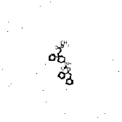 COC(=O)CCC1(c2ccccc2)CCC(NC(=O)OC(Cc2ccccc2)c2ccccc2)CC1